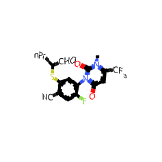 CCCC(C=O)Sc1cc(-n2c(=O)cc(C(F)(F)F)n(C)c2=O)c(F)cc1C#N